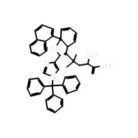 CC(C)(CC(N)C(=O)O)C(=O)C1C=CC=CC1(NCc1cn(C(c2ccccc2)(c2ccccc2)c2ccccc2)cn1)c1cccc2ccccc12